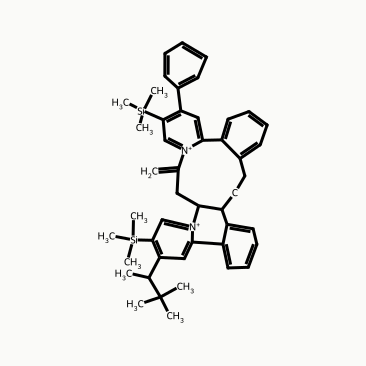 C=C1CC2C(CCc3ccccc3-c3cc(-c4ccccc4)c([Si](C)(C)C)c[n+]31)c1ccccc1-c1cc(C(C)C(C)(C)C)c([Si](C)(C)C)c[n+]12